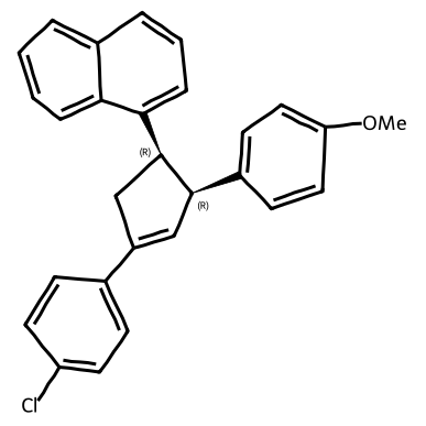 COc1ccc([C@H]2C=C(c3ccc(Cl)cc3)C[C@H]2c2cccc3ccccc23)cc1